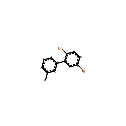 Cc1[c]ccc(-c2cc(Br)ccc2Br)c1